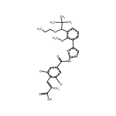 CCCOC(c1cccc(-c2csc(NC(=O)c3cc(Cl)c(C=C(C)C(=O)O)c(Cl)c3)n2)c1OC)C(C)(C)C